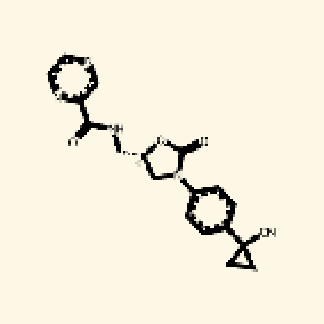 N#CC1(c2ccc(N3C[C@H](CNC(=O)c4cnccn4)OC3=O)cc2)CC1